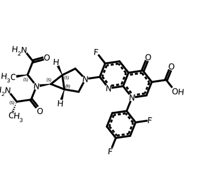 C[C@H](N)C(=O)N([C@H]1[C@@H]2CN(c3nc4c(cc3F)c(=O)c(C(=O)O)cn4-c3ccc(F)cc3F)C[C@@H]21)[C@@H](C)C(N)=O